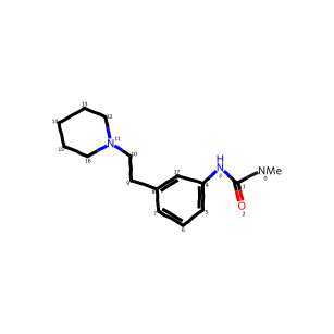 CNC(=O)Nc1cccc(CCN2CCCCC2)c1